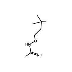 CC(=N)NOCCC(C)(C)C